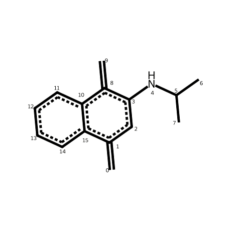 C=c1cc(NC(C)C)c(=C)c2ccccc12